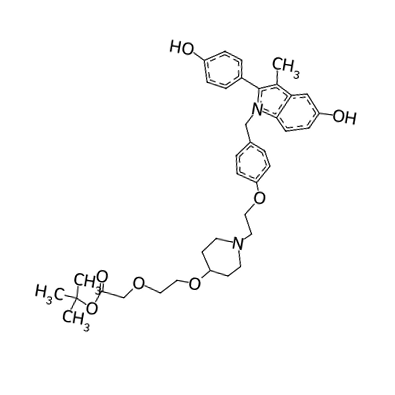 Cc1c(-c2ccc(O)cc2)n(Cc2ccc(OCCN3CCC(OCCOCC(=O)OC(C)(C)C)CC3)cc2)c2ccc(O)cc12